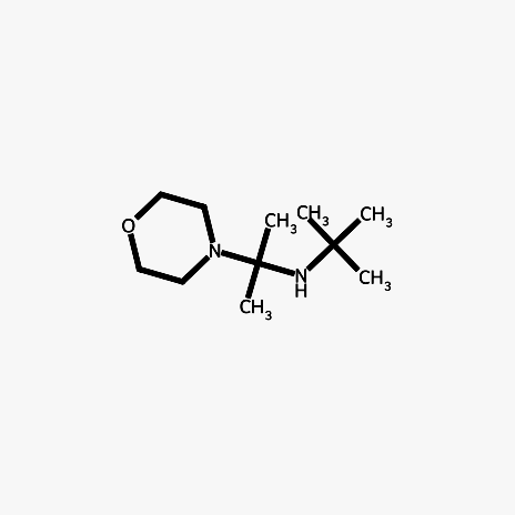 CC(C)(C)NC(C)(C)N1CCOCC1